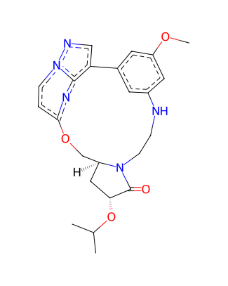 COc1cc2cc(c1)-c1cnn3ccc(nc13)OC[C@@H]1C[C@@H](OC(C)C)C(=O)N1CCN2